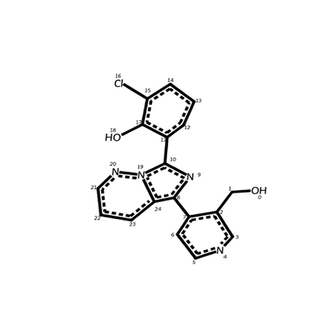 OCc1cnccc1-c1nc(-c2cccc(Cl)c2O)n2ncccc12